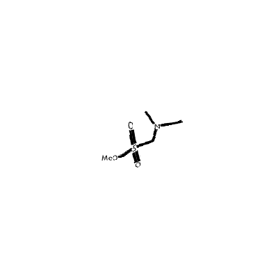 COS(=O)(=O)CN(C)C